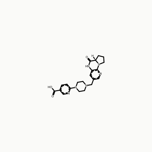 O=C(O)c1ccc(N2CCN(Cc3cnc4c(c3)NC(=O)[C@@H]3CCCN43)CC2)nc1